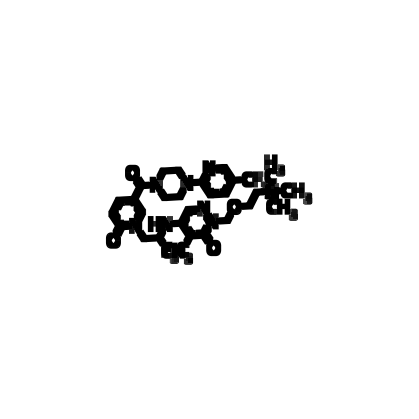 CC(Cn1cc(C(=O)N2CCN(c3ccc(C(F)(F)F)cn3)CC2)ccc1=O)Nc1cnn(COCC[Si](C)(C)C)c(=O)c1C(F)(F)F